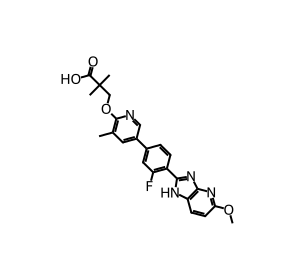 COc1ccc2[nH]c(-c3ccc(-c4cnc(OCC(C)(C)C(=O)O)c(C)c4)cc3F)nc2n1